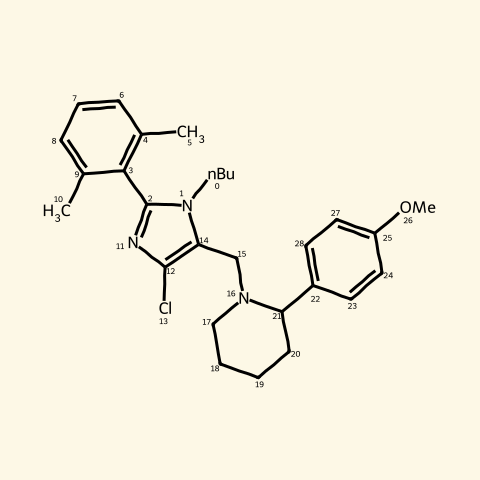 CCCCn1c(-c2c(C)cccc2C)nc(Cl)c1CN1CCCCC1c1ccc(OC)cc1